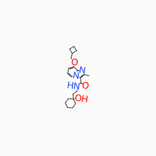 Cc1nc2c(OCC3CCC3)cccn2c1C(=O)NCCC1(O)CCCCC1